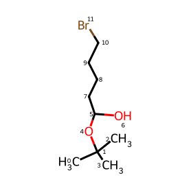 CC(C)(C)OC(O)CCCCBr